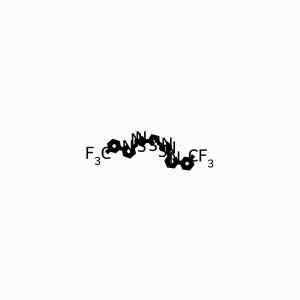 FC(F)(F)c1cccc(-c2cccc(-c3nnc(-c4ccc(-c5nnc(-c6cccc(-c7cccc(C(F)(F)F)c7)n6)s5)s4)s3)n2)c1